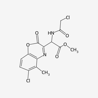 COC(=O)C(NC(=O)CCl)c1nc2c(C)c(Cl)ccc2oc1=O